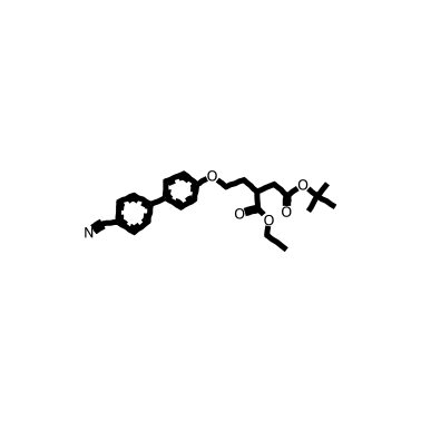 CCOC(=O)C(CCOc1ccc(-c2ccc(C#N)cc2)cc1)CC(=O)OC(C)(C)C